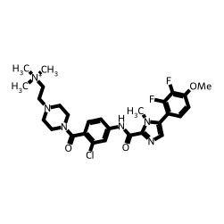 COc1ccc(-c2cnc(C(=O)Nc3ccc(C(=O)N4CCN(CC[N+](C)(C)C)CC4)c(Cl)c3)n2C)c(F)c1F